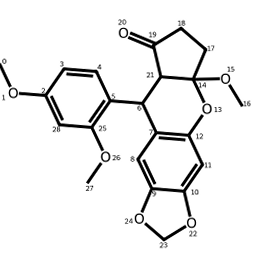 COc1ccc(C2c3cc4c(cc3OC3(OC)CCC(=O)C23)OCO4)c(OC)c1